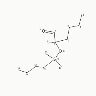 CCCCC(C)(C=O)O[Si](C)(C)CCCC